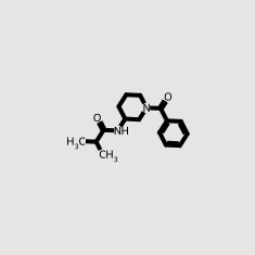 CC(C)C(=O)NC1CCCN(C(=O)c2ccccc2)C1